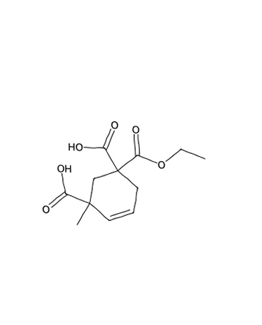 CCOC(=O)C1(C(=O)O)CC=CC(C)(C(=O)O)C1